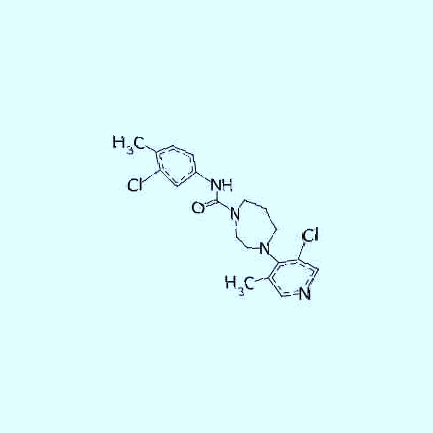 Cc1ccc(NC(=O)N2CCCN(c3c(C)cncc3Cl)CC2)cc1Cl